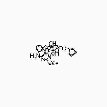 CSc1nc(N)c2ncc(C3(O)O[C@H](COCc4ccccc4)C[C@@]3(C)OCc3ccccc3)n2n1